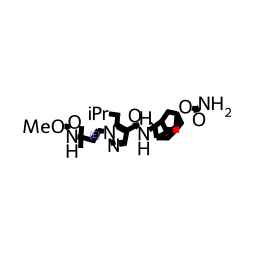 COC(=O)NC(C)(C)/C=C/n1ncc(C(=O)N[C@H]2C3CC4CC2C[C@](OC(N)=O)(C4)C3)c1CC(C)C